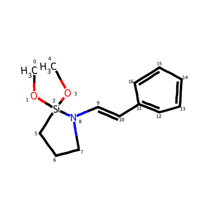 CO[Si]1(OC)CCCN1C=Cc1ccccc1